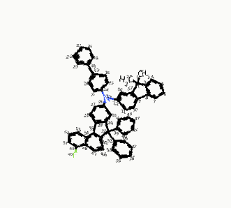 CC1(C)c2ccccc2-c2ccc(N(c3ccc(-c4ccccc4)cc3)c3ccc4c(c3)C(c3ccccc3)(c3ccccc3)c3ccc5c(F)cccc5c3-4)cc21